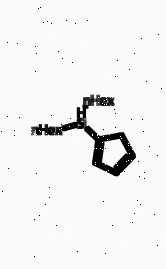 CCCCCC[SiH](CCCCCC)C1=CC=CC1